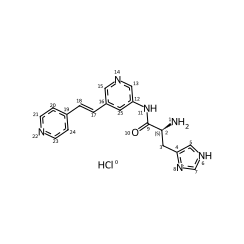 Cl.N[C@@H](Cc1c[nH]cn1)C(=O)Nc1cncc(C=Cc2ccncc2)c1